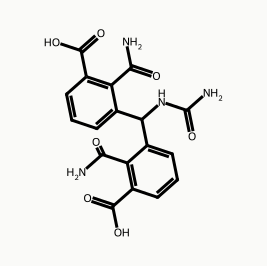 NC(=O)NC(c1cccc(C(=O)O)c1C(N)=O)c1cccc(C(=O)O)c1C(N)=O